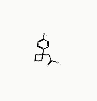 NC(=O)CC1(c2ccc(C(F)(F)F)cc2)CCC1